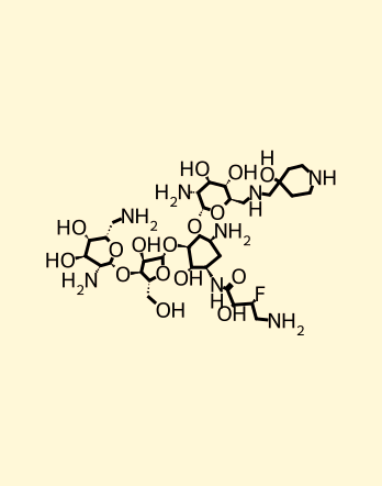 NC[C@@H]1O[C@H](O[C@H]2[C@@H](O)[C@H](O[C@@H]3[C@@H](O)[C@H](NC(=O)C(O)[C@@H](F)CN)C[C@H](N)[C@H]3O[C@H]3O[C@H](CNCC4(O)CCNCC4)[C@@H](O)[C@H](O)[C@H]3N)O[C@@H]2CO)[C@H](N)[C@@H](O)[C@@H]1O